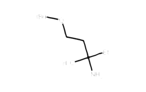 CCC(C)(N)CCOC(C)(C)C